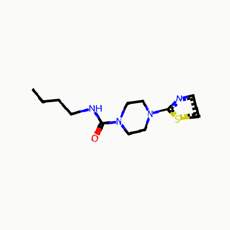 CCCCNC(=O)N1CCN(c2nccs2)CC1